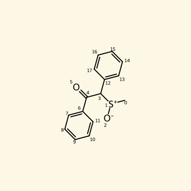 C[S+]([O-])C(C(=O)c1ccccc1)c1ccccc1